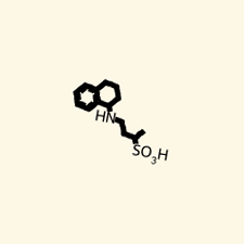 CC(CCNC1CCCc2ccccc21)S(=O)(=O)O